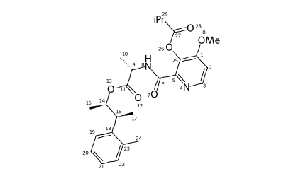 COc1ccnc(C(=O)N[C@@H](C)C(=O)O[C@H](C)[C@@H](C)c2ccccc2C)c1OC(=O)C(C)C